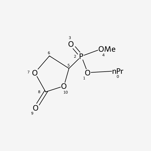 CCCOP(=O)(OC)C1COC(=O)O1